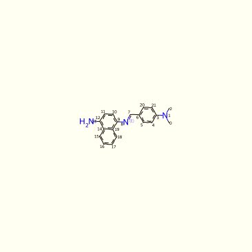 CN(C)c1ccc(/C=N/c2ccc(N)c3ccccc23)cc1